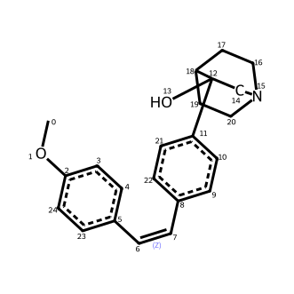 COc1ccc(/C=C\c2ccc(C3(O)CN4CCC3CC4)cc2)cc1